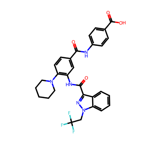 O=C(O)c1ccc(NC(=O)c2ccc(N3CCCCC3)c(NC(=O)c3nn(CC(F)(F)F)c4ccccc34)c2)cc1